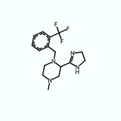 CN1CCN(Cc2ccccc2C(F)(F)F)C(C2=NCCN2)C1